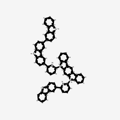 c1cc(-c2ccc3sc4ccccc4c3c2)nc(-n2c3ccccc3c3cc4c5ccccc5n(-c5cccc(-c6ccc7sc8ccc(-c9ccc%10sc%11ccccc%11c%10c9)cc8c7c6)n5)c4cc32)c1